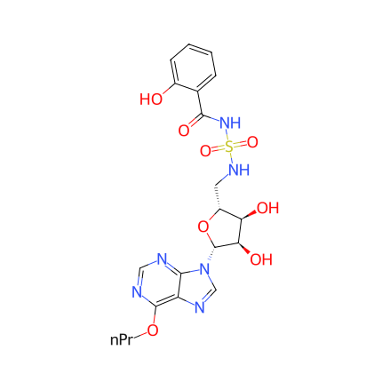 CCCOc1ncnc2c1ncn2[C@@H]1O[C@H](CNS(=O)(=O)NC(=O)c2ccccc2O)[C@@H](O)[C@H]1O